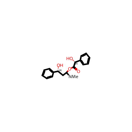 CNC(C[C@@H](O)c1ccccc1)OC(=O)[C@H](O)c1ccccc1